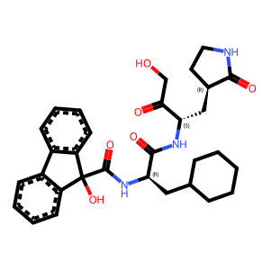 O=C1NCC[C@@H]1C[C@H](NC(=O)[C@@H](CC1CCCCC1)NC(=O)C1(O)c2ccccc2-c2ccccc21)C(=O)CO